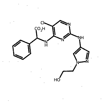 O=C(O)C(Nc1nc(Nc2cnn(CCO)c2)ncc1Cl)c1ccccc1